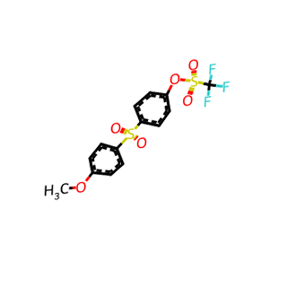 COc1ccc(S(=O)(=O)c2ccc(OS(=O)(=O)C(F)(F)F)cc2)cc1